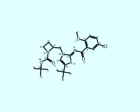 COc1ccc(Cl)cc1C(=O)/N=c1\sc(C(C)(C)C)cn1CC1CCN1C(=O)OC(C)(C)C